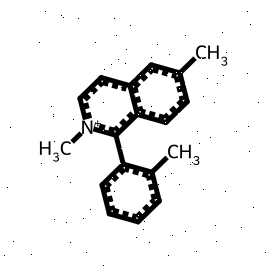 Cc1ccc2c(-c3ccccc3C)[n+](C)ccc2c1